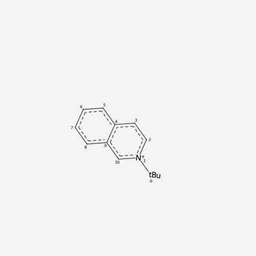 CC(C)(C)[n+]1ccc2ccccc2c1